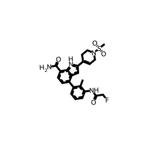 Cc1c(NC(=O)CF)cccc1-c1ccc(C(N)=O)c2[nH]c(C3=CCN(S(C)(=O)=O)CC3)cc12